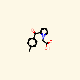 Cc1ccc(C(=O)c2cccn2CC(=O)O)cc1